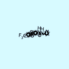 O=C(NCc1cccnc1)Nc1ccc(S(=O)(=O)N2CCC(C(F)(F)F)CC2)cc1